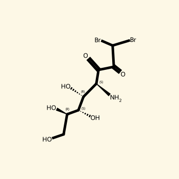 N[C@H](C(=O)C(=O)C(Br)Br)[C@@H](O)[C@H](O)[C@H](O)CO